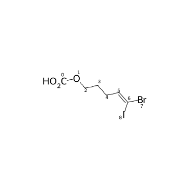 O=C(O)OCCCC=C(Br)I